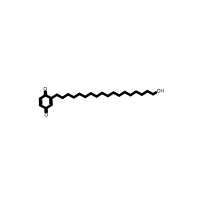 O=C1C=CC(=O)C(CCCCCCCCCCCCCCCCCCO)=C1